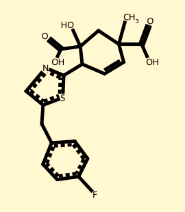 CC1(C(=O)O)C=CC(c2ncc(Cc3ccc(F)cc3)s2)C(O)(C(=O)O)C1